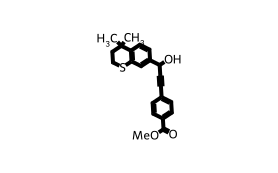 COC(=O)c1ccc(C#CC(O)c2ccc3c(c2)SCCC3(C)C)cc1